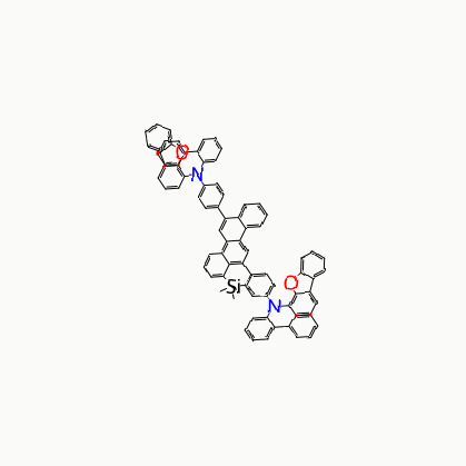 C[Si]1(C)c2cc(N(c3ccccc3-c3ccccc3)c3cccc4c3oc3ccccc34)ccc2-c2cc3c4ccccc4c(-c4ccc(N(c5ccccc5-c5ccccc5)c5cccc6c5oc5ccccc56)cc4)cc3c3cccc1c23